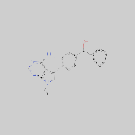 CC(C)n1cc(-c2ccc(C(O)c3ccccc3)cc2)c2c(N)ncnc21